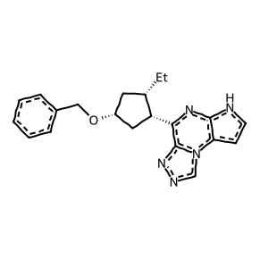 CC[C@H]1C[C@@H](OCc2ccccc2)C[C@H]1c1nc2[nH]ccc2n2cnnc12